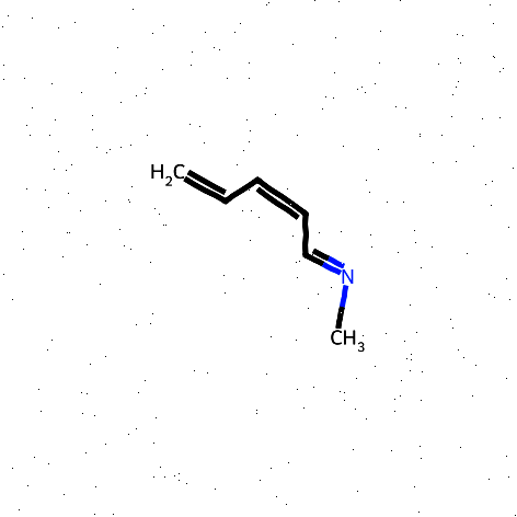 C=C/C=C\C=NC